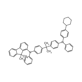 CC(C)(c1ccc(N(c2ccccc2)c2ccc(C3CCCCC3)cc2)cc1)c1ccc(N(c2ccccc2)c2cccc3c2C(C)(C)c2ccccc2-3)cc1